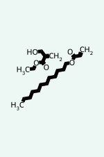 C=C(CO)C(=O)OCC.C=CC(=O)OCCCCCCCCCCCC